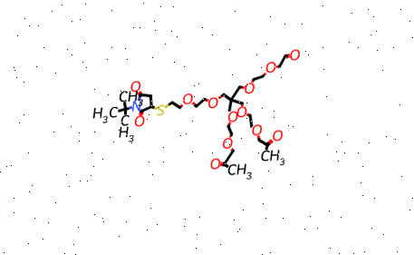 CC(=O)COCCOCC(COCCOCC=O)(COCCOCCSC1CC(=O)N(C(C)(C)C)C1=O)COCCOCC(C)=O